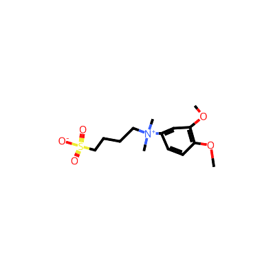 COc1ccc([N+](C)(C)CCCCS(=O)(=O)[O-])cc1OC